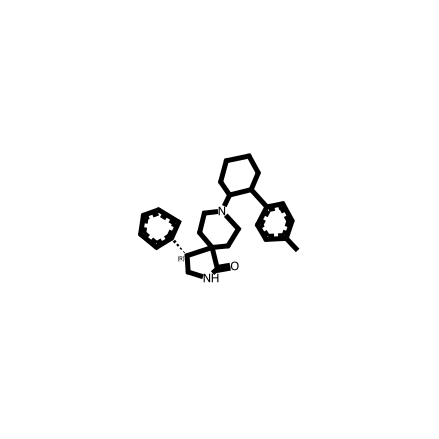 Cc1ccc(C2CCCCC2N2CCC3(CC2)C(=O)NC[C@@H]3c2ccccc2)cc1